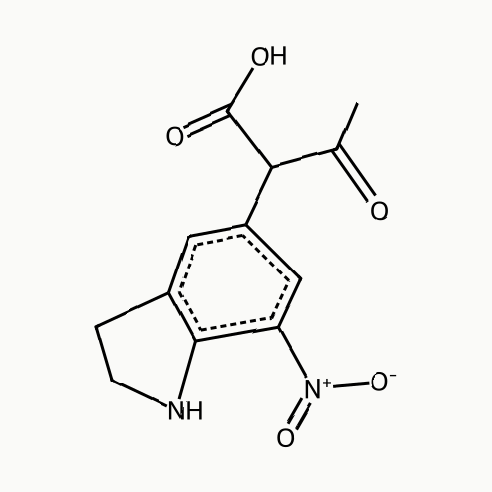 CC(=O)C(C(=O)O)c1cc2c(c([N+](=O)[O-])c1)NCC2